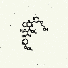 COc1ccc(NC(=O)C(C)N(C)c2nc(-c3cc(OCCO)ccn3)nc3c2CCC3)cn1